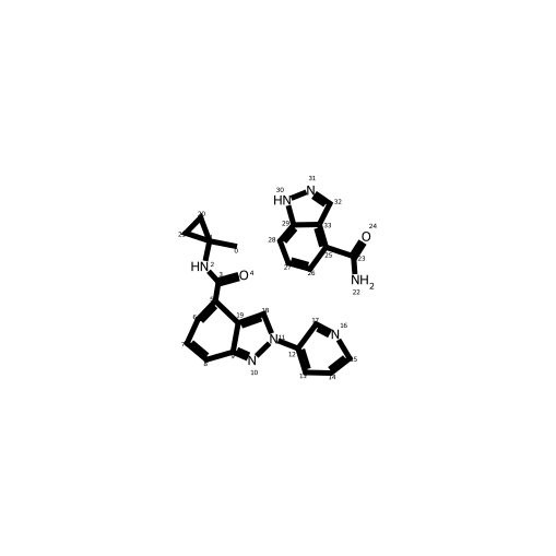 CC1(NC(=O)c2cccc3nn(-c4cccnc4)cc23)CC1.NC(=O)c1cccc2[nH]ncc12